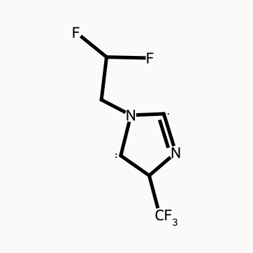 FC(F)CN1[C]C(C(F)(F)F)N=[C]1